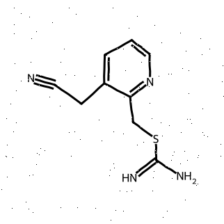 N#CCc1cccnc1CSC(=N)N